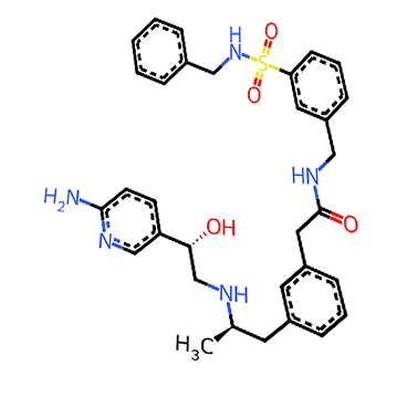 C[C@H](Cc1cccc(CC(=O)NCc2cccc(S(=O)(=O)NCc3ccccc3)c2)c1)NC[C@@H](O)c1ccc(N)nc1